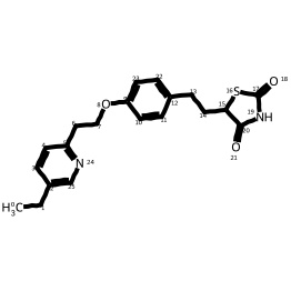 CCc1ccc(CCOc2ccc(CCC3SC(=O)NC3=O)cc2)nc1